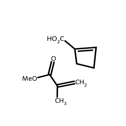 C=C(C)C(=O)OC.O=C(O)C1=CCC1